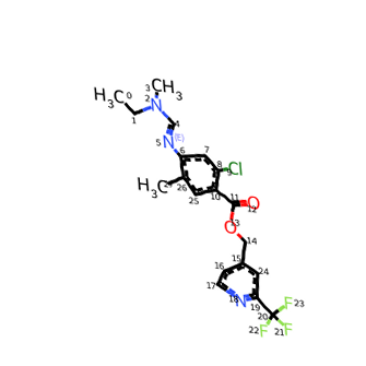 CCN(C)/C=N/c1cc(Cl)c(C(=O)OCc2ccnc(C(F)(F)F)c2)cc1C